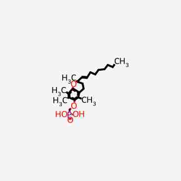 CCCCCCCC=CC1(C)CCc2c(C)c(OCP(=O)(O)O)c(C)c(C)c2O1